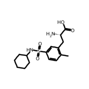 Cc1ccc(S(=O)(=O)NC2CCCCC2)cc1C[C@H](N)C(=O)O